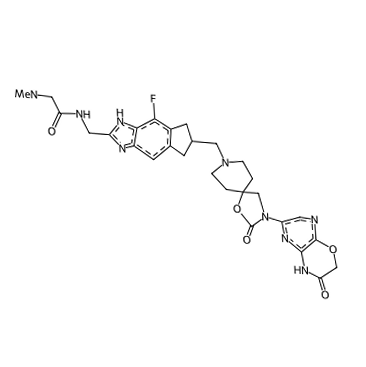 CNCC(=O)NCc1nc2cc3c(c(F)c2[nH]1)CC(CN1CCC2(CC1)CN(c1cnc4c(n1)NC(=O)CO4)C(=O)O2)C3